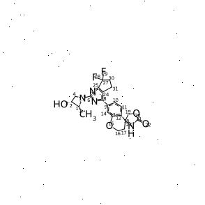 C[C@H]1[C@H](O)CN1c1nc(-c2ccc3c(c2)OCCC32COC(=O)N2)c2c(n1)C(F)(F)CC2